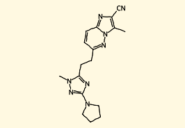 Cc1c(C#N)nc2ccc(CCc3nc(N4CCCC4)nn3C)nn12